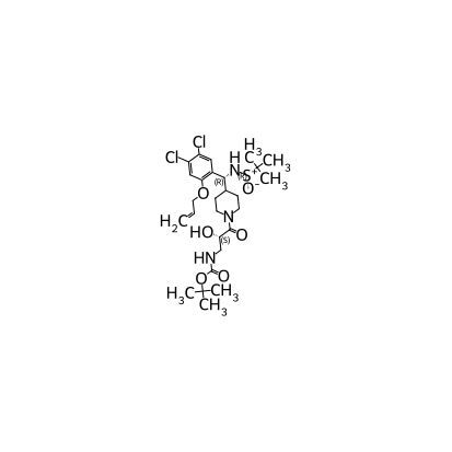 C=CCOc1cc(Cl)c(Cl)cc1[C@H](N[S@@+]([O-])C(C)(C)C)C1CCN(C(=O)[C@@H](O)CNC(=O)OC(C)(C)C)CC1